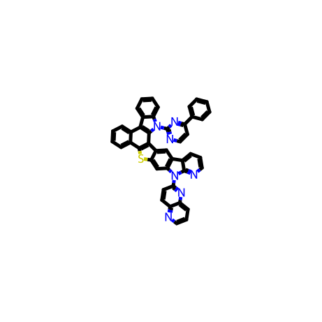 c1ccc(-c2ccnc(-n3c4ccccc4c4c5ccccc5c5sc6cc7c(cc6c5c43)c3cccnc3n7-c3ccc4ncccc4n3)n2)cc1